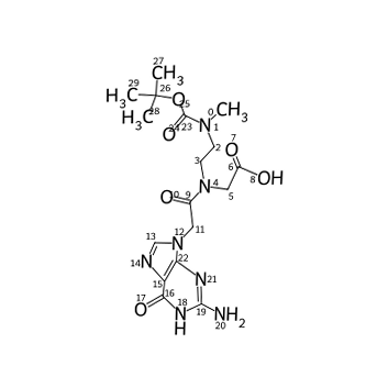 CN(CCN(CC(=O)O)C(=O)Cn1cnc2c(=O)[nH]c(N)nc21)C(=O)OC(C)(C)C